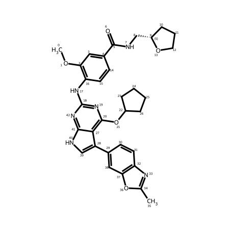 COc1cc(C(=O)NC[C@@H]2CCCO2)ccc1Nc1nc(OC2CCCC2)c2c(-c3ccc4nc(C)oc4c3)c[nH]c2n1